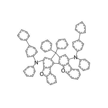 c1ccc(-c2ccc(N(c3ccccc3)c3cc4c(c5c3oc3ccccc35)-c3c(cc(N(c5ccccc5)c5ccc(-c6ccccc6)cc5)c5c3oc3ccccc35)C4(c3ccccc3)c3ccccc3)cc2)cc1